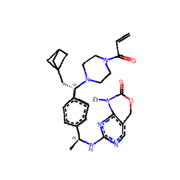 C=CC(=O)N1CCN([C@@H](CC23CC(C2)C3)c2ccc([C@H](C)Nc3ncc4c(n3)N(CC)C(=O)OC4)cc2)CC1